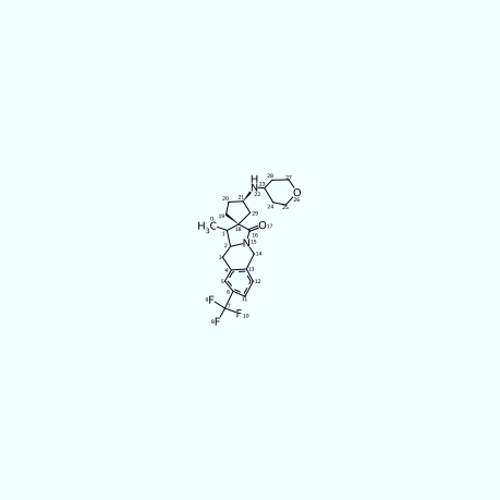 CC1C2Cc3cc(C(F)(F)F)ccc3CN2C(=O)[C@]12CC[C@@H](NC1CCOCC1)C2